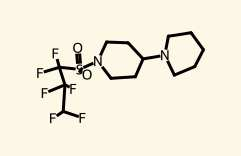 O=S(=O)(N1CCC(N2CCCCC2)CC1)C(F)(F)C(F)(F)C(F)F